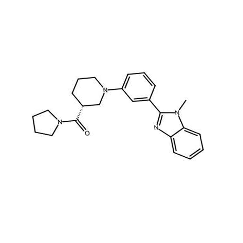 Cn1c(-c2cccc(N3CCC[C@@H](C(=O)N4CCCC4)C3)c2)nc2ccccc21